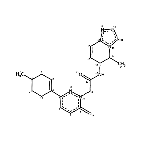 CC1CC=C(c2ccc(=O)n(CC(=O)NC3C=Cc4ncnn4C3C)n2)CC1